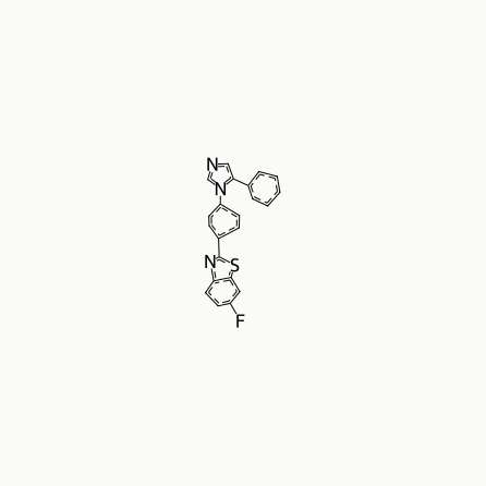 Fc1ccc2nc(-c3ccc(-n4cncc4-c4ccccc4)cc3)sc2c1